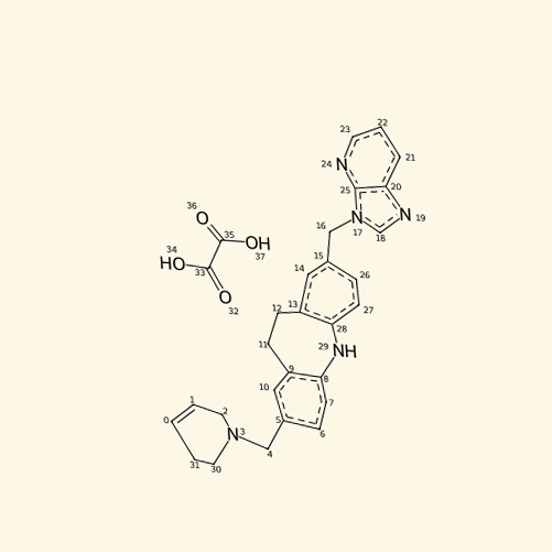 C1=CCN(Cc2ccc3c(c2)CCc2cc(Cn4cnc5cccnc54)ccc2N3)CC1.O=C(O)C(=O)O